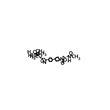 CC(=O)NC[C@H]1CN(c2ccc(-c3ccc(C4=NO[C@@H](CO[Si](C)(C)C(C)(C)C)C4)cc3)cc2)C(=O)O1